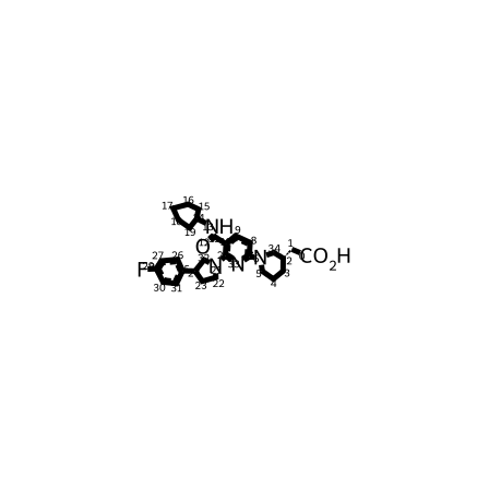 O=C(O)C[C@@H]1CCCN(c2ccc(C(=O)NC3CCCCC3)c(N3CCC(c4ccc(F)cc4)C3)n2)C1